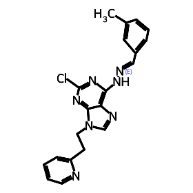 Cc1cccc(/C=N/Nc2nc(Cl)nc3c2ncn3CCc2ccccn2)c1